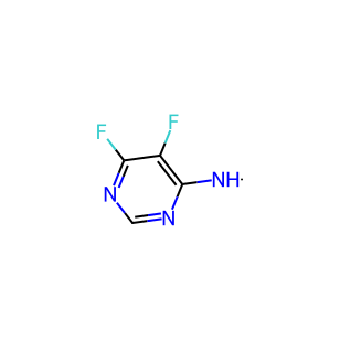 [NH]c1ncnc(F)c1F